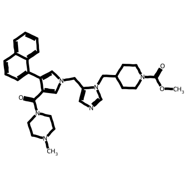 COC(=O)N1CCC(Cn2cncc2Cn2cc(C(=O)N3CCN(C)CC3)c(-c3cccc4ccccc34)c2)CC1